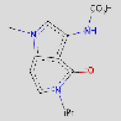 CC(C)n1ccc2c(c(NC(=O)O)cn2C)c1=O